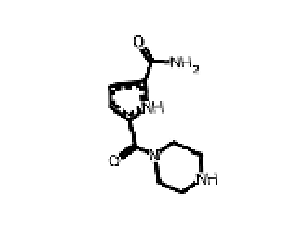 NC(=O)c1ccc(C(=O)N2CCNCC2)[nH]1